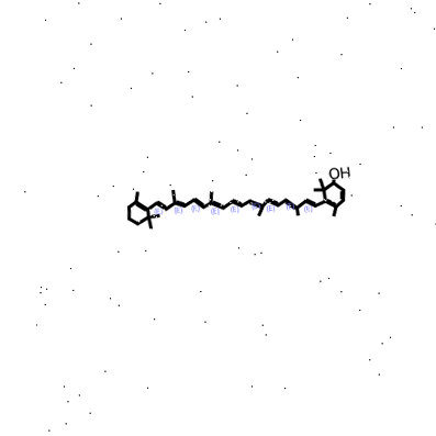 CC1=C(/C=C/C(C)=C/C=C/C(C)=C/C=C/C=C(C)/C=C/C=C(C)/C=C/C2=C(C)CCCC2(C)C)C(C)(C)C(O)C=C1